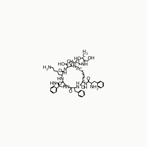 CC(O)[C@@H](CO)NC(=O)[C@@H]1CSSC[C@H](NC(=O)C(N)Cc2ccccc2)C(=O)NC(Cc2ccccc2)C(=O)N[C@H](Cc2c[nH]c3ccccc23)C(=O)NC(CCCCN)C(=O)NC([C@@H](C)O)C(=O)N1